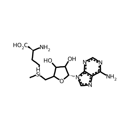 C[SiH](CC[C@H](N)C(=O)O)CC1O[C@@H](n2cnc3c(N)ncnc32)C(O)C1O